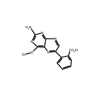 CCOC(=O)c1ccccc1-c1cnc2nc(N)nc(OCC)c2n1